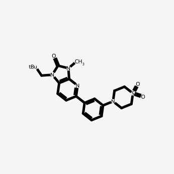 Cn1c(=O)n(CC(C)(C)C)c2ccc(-c3cccc(N4CCS(=O)(=O)CC4)c3)nc21